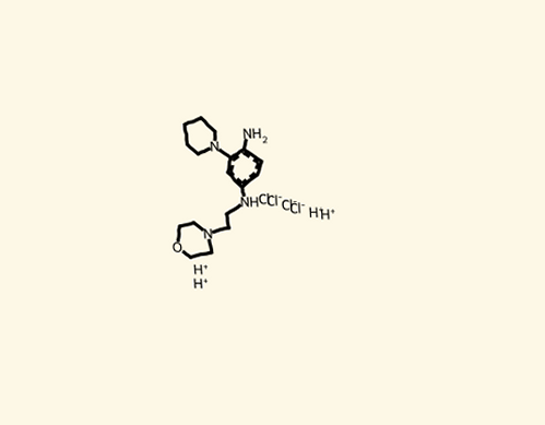 Nc1ccc(NCCN2CCOCC2)cc1N1CCCCC1.[Cl-].[Cl-].[Cl-].[Cl-].[H+].[H+].[H+].[H+]